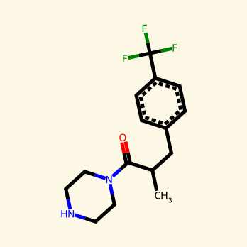 CC(Cc1ccc(C(F)(F)F)cc1)C(=O)N1CCNCC1